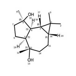 CC1(C)[C@H]2[C@H]3[C@H](CC[C@@]3(C)O)[C@@](C)(O)CC[C@H]21